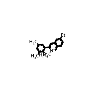 CCc1ccc2c[n+](C)c(-c3cc(C)cc(C)c3C)cc2c1